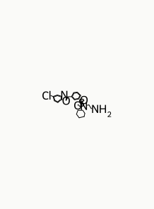 NCCN(C1CCCCC1)S(=O)(=O)c1cccc(-c2nc3cc(Cl)ccc3o2)c1